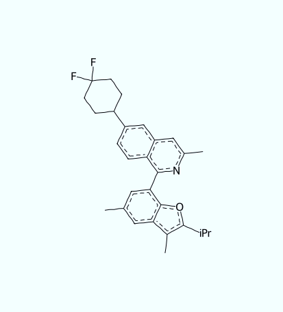 Cc1cc(-c2nc(C)cc3cc(C4CCC(F)(F)CC4)ccc23)c2oc(C(C)C)c(C)c2c1